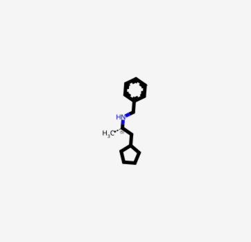 C[C@@H](CC1CCCC1)NCc1c[c]ccc1